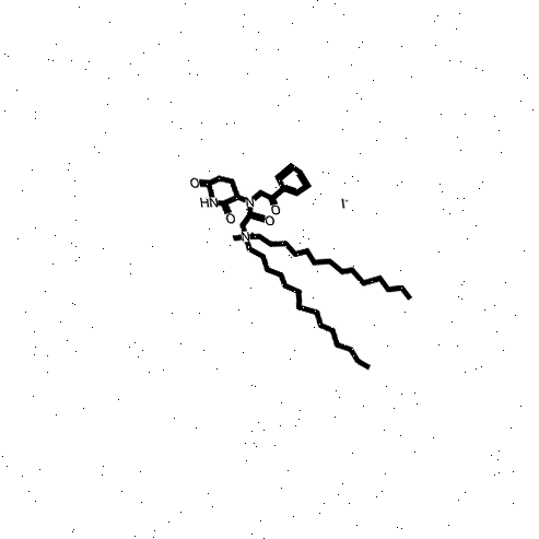 CCCCCCCCCCCCCC[N+](C)(CCCCCCCCCCCCCC)CC(=O)N(CC(=O)c1ccccc1)C1CCC(=O)NC1=O.[I-]